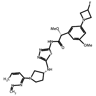 C=N/N=C(\C=C/C)N1CC[C@@H](Nc2nnc(NC(=O)[C@H](OC)c3cc(OC)cc(N4CC(F)C4)c3)s2)C1